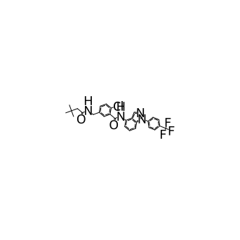 CC(C)(C)CC(=O)NCc1ccc(Cl)c(C(=O)Nc2cccc3c2cnn3-c2ccc(C(F)(F)F)cc2)c1